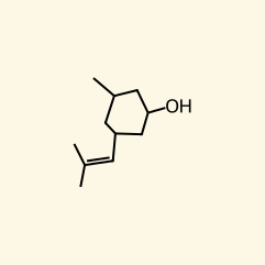 CC(C)=CC1CC(C)CC(O)C1